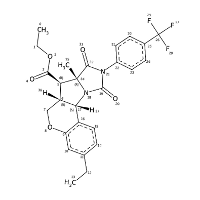 CCOC(=O)[C@@H]1[C@H]2COc3cc(CC)ccc3[C@H]2N2C(=O)N(c3ccc(C(F)(F)F)cc3)C(=O)[C@@]12C